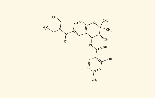 CCN(CC)[S+]([O-])c1ccc2c(c1)[C@@H](NC(=N)c1ccc(C)cc1O)[C@H](O)C(C)(C)O2